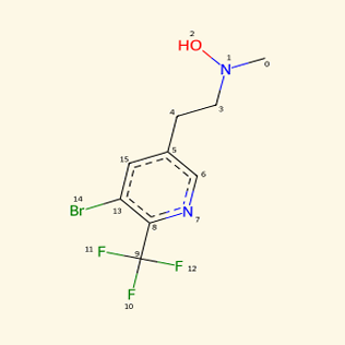 CN(O)CCc1cnc(C(F)(F)F)c(Br)c1